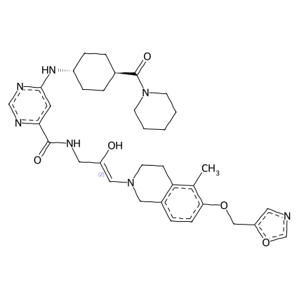 Cc1c(OCc2cnco2)ccc2c1CCN(/C=C(\O)CNC(=O)c1cc(N[C@H]3CC[C@H](C(=O)N4CCCCC4)CC3)ncn1)C2